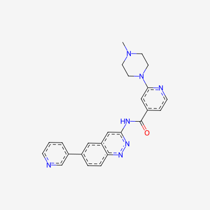 CN1CCN(c2cc(C(=O)Nc3cc4cc(-c5cccnc5)ccc4nn3)ccn2)CC1